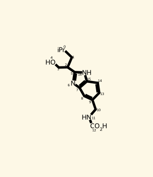 CC(C)CC(CO)c1nc2cc(CNC(=O)O)ccc2[nH]1